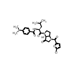 CC(C)C[C@H](NC(=O)c1ccc(N(C)C)cc1)C(=O)N1CCC2[C@H]1C(=O)CN2C(=O)c1ccc(Cl)o1